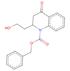 O=C1CC(CCO)N(C(=O)OCc2ccccc2)c2ccccc21